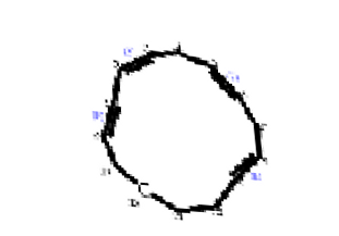 [C]1=C/C=C\C/C=C\C/C=C/CCCC/1